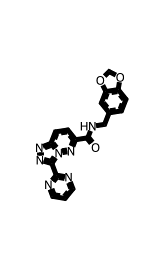 O=C(NCc1ccc2c(c1)OCO2)c1ccc2nnc(-c3ncccn3)n2n1